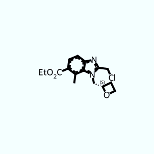 CCOC(=O)c1ccc2nc(CCl)n(C[C@@H]3CCO3)c2c1C